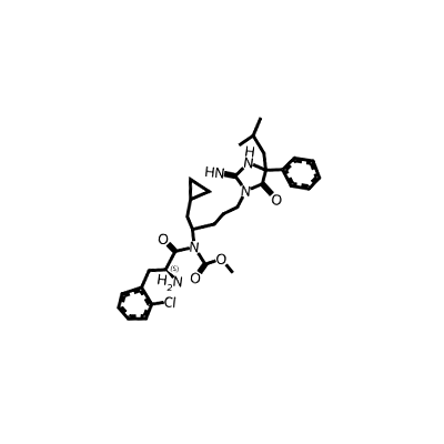 COC(=O)N(C(=O)[C@@H](N)Cc1ccccc1Cl)C(CCCN1C(=N)NC(CC(C)C)(c2ccccc2)C1=O)CC1CC1